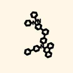 c1ccc(-c2ccc(N(c3ccc(-c4cccc(-c5ccc6c(c5)nc(-c5ccccc5)n6-c5ccccc5)c4)cc3)c3cc4ccccc4c4ccccc34)cc2)cc1